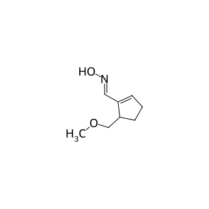 COCC1CCC=C1C=NO